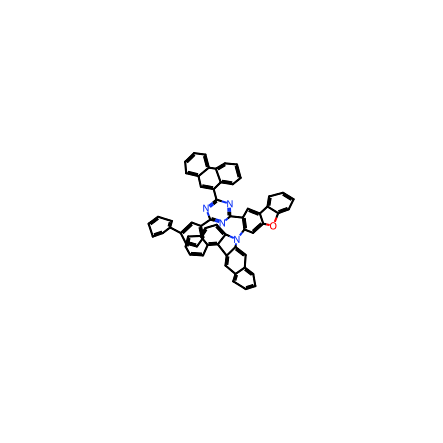 c1ccc(-c2cccc(-c3nc(-c4cc5c(cc4-n4c6cc7ccccc7cc6c6c7ccccc7ccc64)oc4ccccc45)nc(-c4cc5ccccc5c5ccccc45)n3)c2)cc1